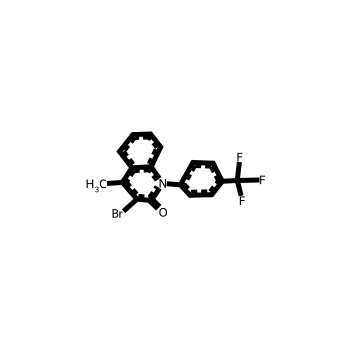 Cc1c(Br)c(=O)n(-c2ccc(C(F)(F)F)cc2)c2ccccc12